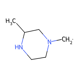 [CH2]N1CCNC(C)C1